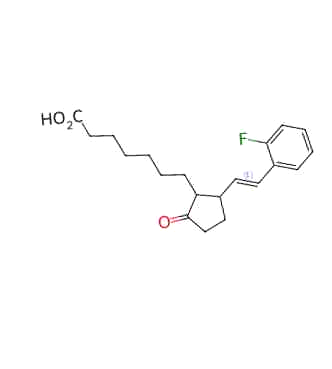 O=C(O)CCCCCCC1C(=O)CCC1/C=C/c1ccccc1F